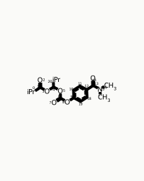 CC(C)C(=O)OC(OC(=O)Oc1ccc(C(=O)N(C)C)cc1)C(C)C